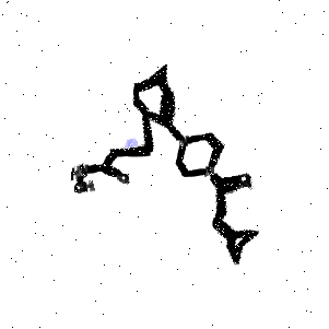 O=C(/C=C/c1ccccc1N1CCN(C(=O)CC2CC2)CC1)NO